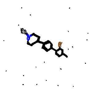 CCN1CCC(c2ccc(-c3ccc(C)cc3Br)cc2)CC1